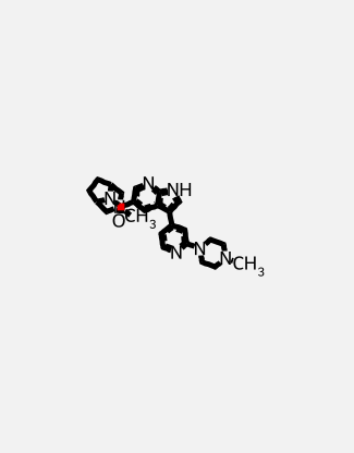 CN1CCN(c2cc(-c3c[nH]c4ncc(C(=O)N5C6CCC5CN(C)C6)cc34)ccn2)CC1